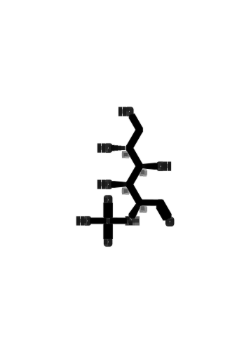 O=C[C@@H](NS(=O)(=O)O)[C@@H](O)[C@H](O)[C@H](O)CO